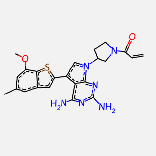 C=CC(=O)N1CCC(n2cc(-c3cc4cc(C)cc(OC)c4s3)c3c(N)nc(N)nc32)C1